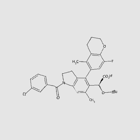 Cc1cc2c(c(-c3cc(F)c4c(c3C)CCCO4)c1[C@H](OC(C)(C)C)C(=O)O)CCN2C(=O)c1cccc(Cl)c1